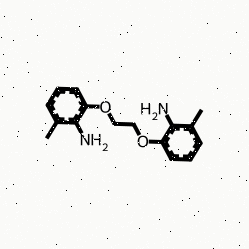 Cc1cccc(OCCOc2cccc(C)c2N)c1N